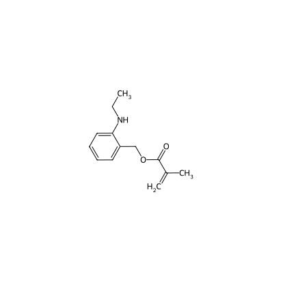 C=C(C)C(=O)OCc1ccccc1NCC